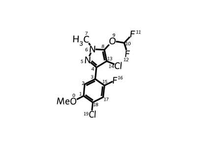 COc1cc(-c2nn(C)c(OC(F)F)c2Cl)c(F)cc1Cl